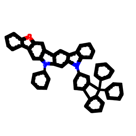 c1ccc(-n2c3cc4c(cc3c3cc5c6ccccc6n(-c6ccc7c(c6)C(c6ccccc6)(c6ccccc6)c6ccccc6-7)c5cc32)oc2ccccc24)cc1